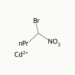 CCCC(Br)[N+](=O)[O-].[Cd+2]